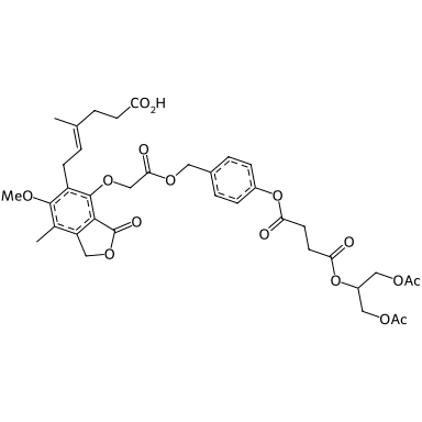 COc1c(C)c2c(c(OCC(=O)OCc3ccc(OC(=O)CCC(=O)OC(COC(C)=O)COC(C)=O)cc3)c1C/C=C(\C)CCC(=O)O)C(=O)OC2